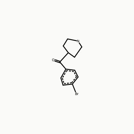 O=C(c1ccc(Br)cc1)C1CC[N]CC1